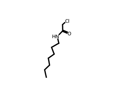 CCCCCCCNC(=O)CCl